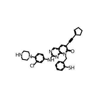 O=c1c(C#CC2=CCCC2)cc2cnc(Nc3ccc(N4CCNCC4)c(Cl)c3)nc2n1Cc1ccccc1S